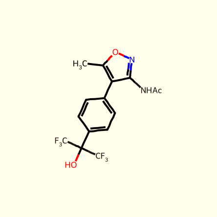 CC(=O)Nc1noc(C)c1-c1ccc(C(O)(C(F)(F)F)C(F)(F)F)cc1